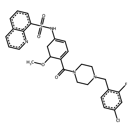 COC1CC(NS(=O)(=O)c2cccc3cccnc23)=CC=C1C(=O)N1CCN(Cc2ccc(Cl)cc2F)CC1